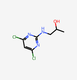 CC(O)CNc1nc(Cl)cc(Cl)n1